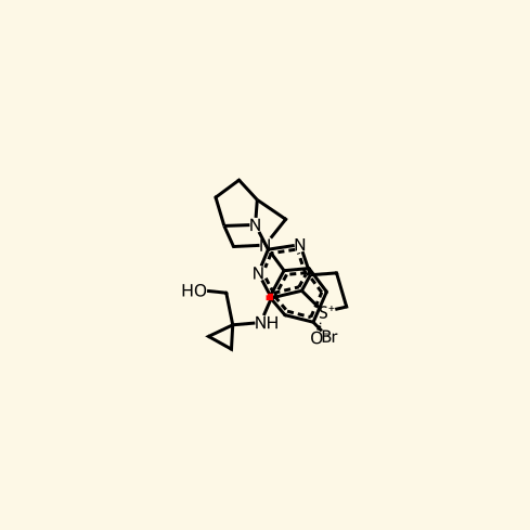 [O-][S@@+]1CCc2nc(N3C4CCC3CN(c3ccc(Br)cc3)C4)nc(NC3(CO)CC3)c21